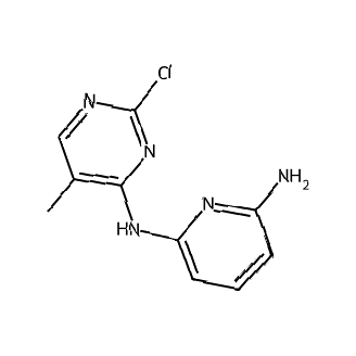 Cc1cnc(Cl)nc1Nc1cccc(N)n1